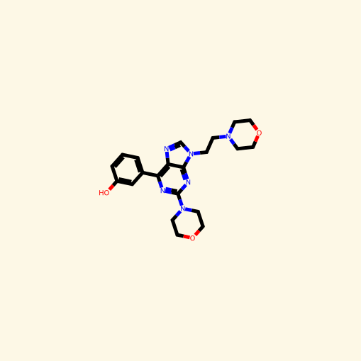 Oc1cccc(-c2nc(N3CCOCC3)nc3c2ncn3CCN2CCOCC2)c1